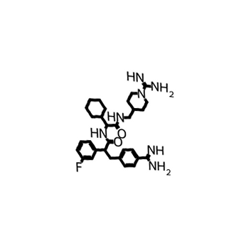 N=C(N)c1ccc(CC(C(=O)NC(C(=O)NCC2CCN(C(=N)N)CC2)C2CCCCC2)c2cccc(F)c2)cc1